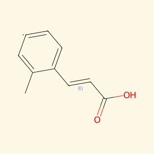 Cc1c[c]ccc1/C=C/C(=O)O